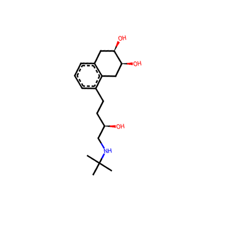 CC(C)(C)NC[C@H](O)CCc1cccc2c1C[C@H](O)[C@H](O)C2